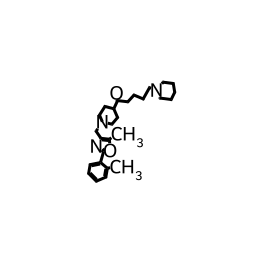 Cc1ccccc1-c1nc(CN2CCC(C(=O)CCCCN3CCCCC3)CC2)c(C)o1